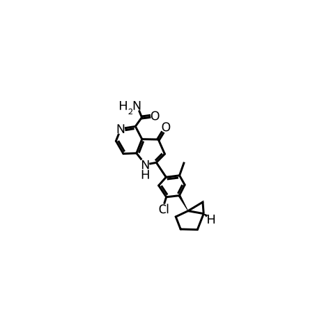 Cc1cc([C@]23CCC[C@H]2C3)c(Cl)cc1-c1cc(=O)c2c(C(N)=O)nccc2[nH]1